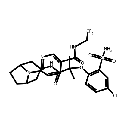 CC(C)(Oc1ccc(Cl)cc1S(N)(=O)=O)C(=O)NC1CC2CCC(C1)N2c1ccc(C(=O)NCC(F)(F)F)cn1